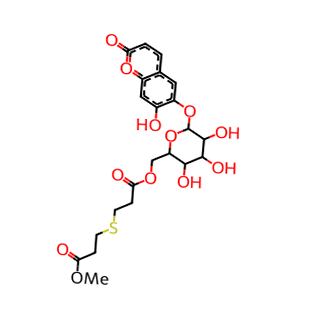 COC(=O)CCSCCC(=O)OCC1OC(Oc2cc3ccc(=O)oc3cc2O)C(O)C(O)C1O